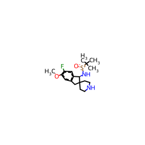 COc1cc2c(cc1F)[C@@H](N[S@+]([O-])C(C)(C)C)C1(CCNCC1)C2